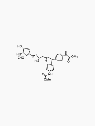 COC(=O)Nc1ccc(C(CNCC(O)COc2ccc(O)c(NC=O)c2)c2ccc(NC(=O)OC)cc2)cc1